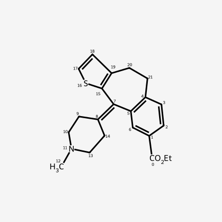 CCOC(=O)c1ccc2c(c1)C(=C1CCN(C)CC1)c1sccc1CC2